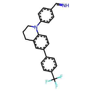 N=Cc1ccc(N2CCCc3cc(-c4ccc(C(F)(F)F)cc4)ccc32)cc1